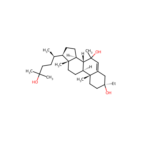 CC[C@]1(O)CC[C@@]2(C)C(=CC(C)(O)[C@H]3[C@@H]4CC[C@H]([C@H](C)CCC(C)(C)O)[C@@]4(C)CC[C@@H]32)C1